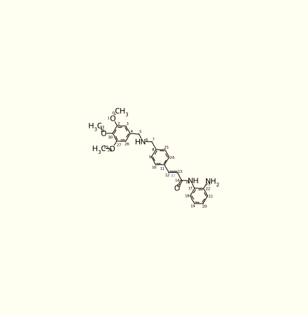 COc1cc(CNCc2ccc(/C=C/C(=O)Nc3ccccc3N)cc2)cc(OC)c1OC